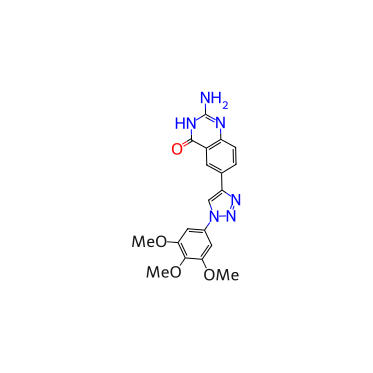 COc1cc(-n2cc(-c3ccc4nc(N)[nH]c(=O)c4c3)nn2)cc(OC)c1OC